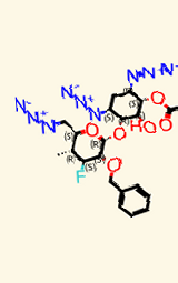 CC(=O)O[C@@H]1[C@@H](O)[C@H](O[C@H]2O[C@H](CN=[N+]=[N-])[C@@H](C)[C@H](F)[C@H]2OCc2ccccc2)[C@@H](N=[N+]=[N-])C[C@H]1N=[N+]=[N-]